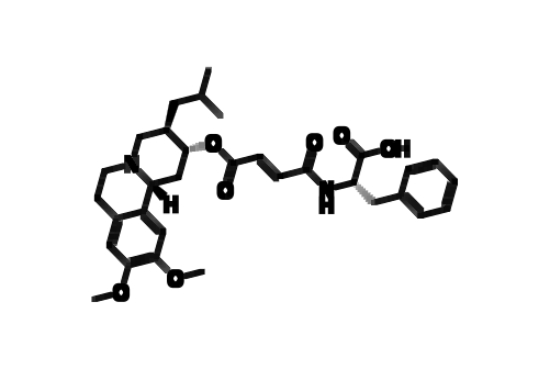 COc1cc2c(cc1OC)[C@H]1C[C@@H](OC(=O)/C=C/C(=O)N[C@@H](Cc3ccccc3)C(=O)O)[C@H](CC(C)C)CN1CC2